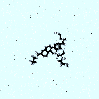 CN[C@@H](C)C(=O)N[C@H]1COc2c(C(=O)N(C)CCO)cccc2N(Cc2c(OC)ccc3cc(C(=O)OC(=O)C(F)(F)F)ccc23)C1=O